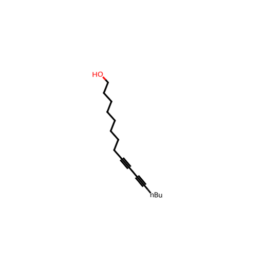 CCCCC#CC#CCCCCCCCCO